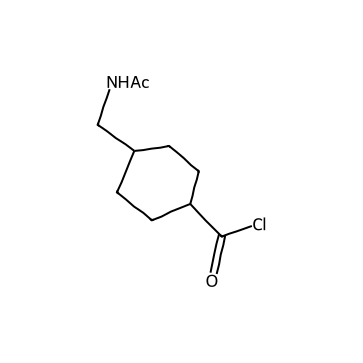 CC(=O)NCC1CCC(C(=O)Cl)CC1